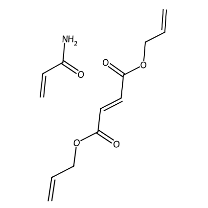 C=CC(N)=O.C=CCOC(=O)/C=C/C(=O)OCC=C